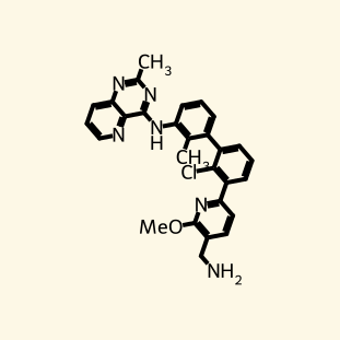 COc1nc(-c2cccc(-c3cccc(Nc4nc(C)nc5cccnc45)c3C)c2Cl)ccc1CN